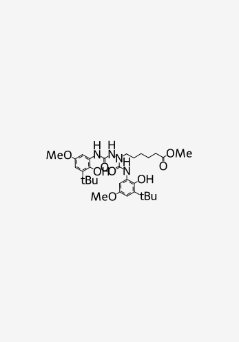 COC(=O)CCCCCN(NC(=O)Nc1cc(OC)cc(C(C)(C)C)c1O)C(=O)Nc1cc(OC)cc(C(C)(C)C)c1O